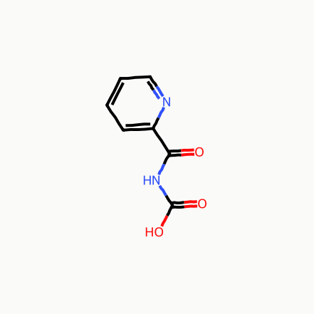 O=C(O)NC(=O)c1ccccn1